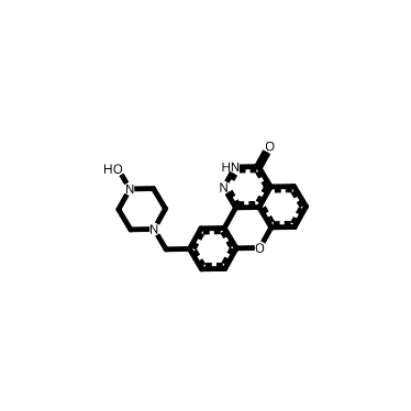 O=c1[nH]nc2c3c(cccc13)Oc1ccc(CN3CCN(O)CC3)cc1-2